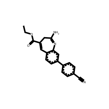 CCOC(=O)C1=Cc2ccc(-c3ccc(C#N)cc3)cc2N=C(N)C1